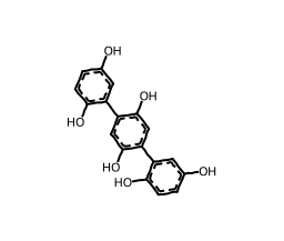 Oc1ccc(O)c(-c2cc(O)c(-c3cc(O)ccc3O)cc2O)c1